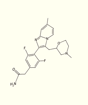 Cc1ccn2c(CC3CN(C)CCO3)c(-c3c(F)cc(CC(N)=O)cc3F)nc2c1